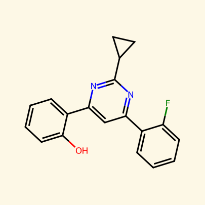 Oc1ccccc1-c1cc(-c2ccccc2F)nc(C2CC2)n1